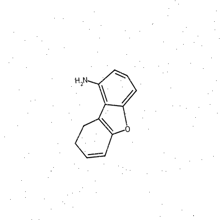 Nc1cccc2oc3c(c12)CCC=C3